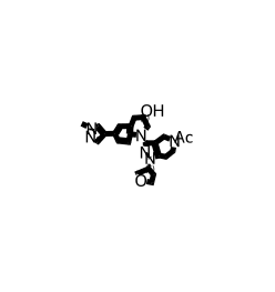 CC(=O)N1CCc2c(c(N3C[C@@H](O)Cc4cc(-c5cnn(C)c5)ccc43)nn2[C@H]2CCOC2)C1